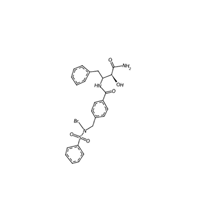 NC(=O)[C@@H](O)C(Cc1ccccc1)NC(=O)c1ccc(CN(Br)S(=O)(=O)c2ccccc2)cc1